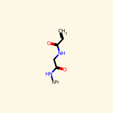 C=CC(=O)NCC(=O)NCCC